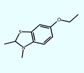 CCOc1ccc2c(c1)SC(C)N2C